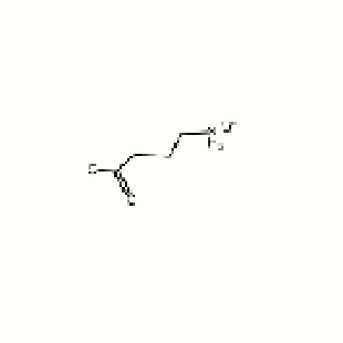 NCCCC(=O)[O-].[Li+]